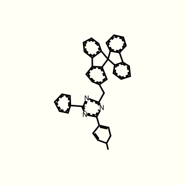 CC1C=CC(c2nc(Cc3ccc4c(c3)C3(c5ccccc5-c5ccccc53)c3ccccc3-4)nc(-c3ccccc3)n2)=CC1